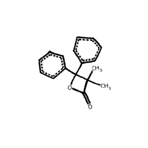 CC1(C)C(=O)OC1(c1ccccc1)c1ccccc1